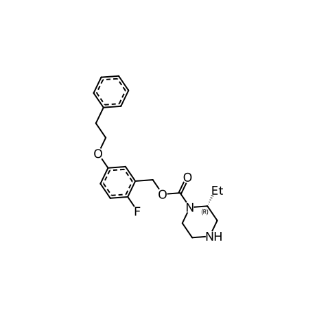 CC[C@@H]1CNCCN1C(=O)OCc1cc(OCCc2ccccc2)ccc1F